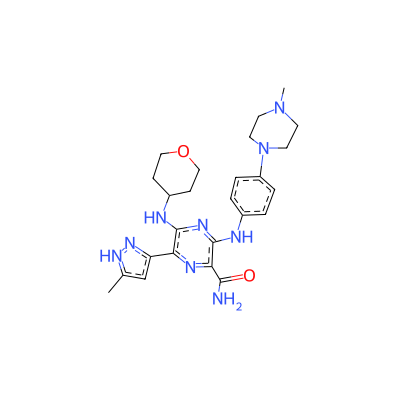 Cc1cc(-c2nc(C(N)=O)c(Nc3ccc(N4CCN(C)CC4)cc3)nc2NC2CCOCC2)n[nH]1